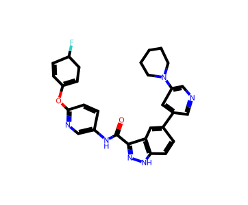 O=C(Nc1ccc(OC2=CCC(F)C=C2)nc1)c1n[nH]c2ccc(-c3cncc(N4CCCCC4)c3)cc12